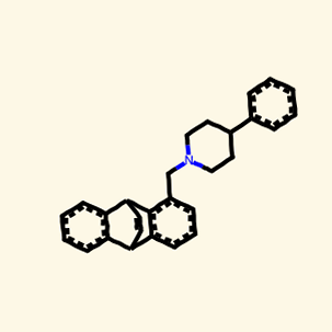 C1=CC2c3ccccc3C1c1cccc(CN3CCC(c4ccccc4)CC3)c12